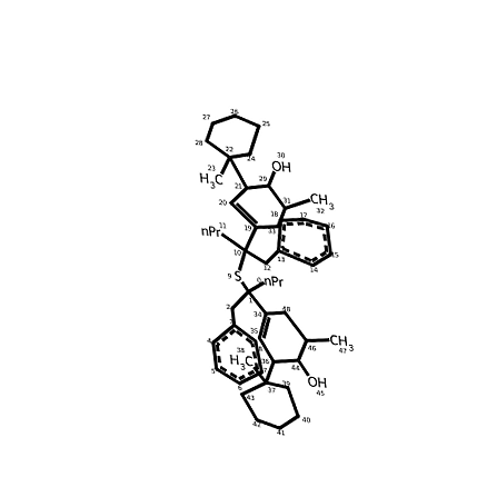 CCCC(Cc1ccccc1)(SC(CCC)(Cc1ccccc1)C1=CC(C2(C)CCCCC2)C(O)C(C)C1)C1=CC(C2(C)CCCCC2)C(O)C(C)C1